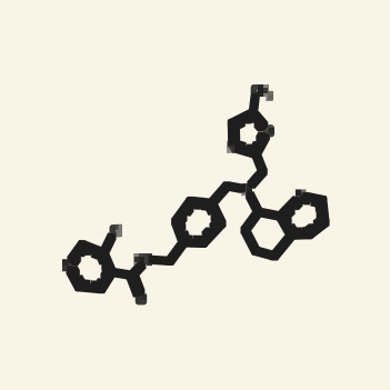 Cc1cnc(CN(Cc2ccc(CNC(=O)c3ccncc3Cl)cc2)C2CCCc3cccnc32)o1